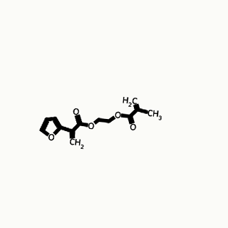 C=C(C)C(=O)OCCOC(=O)C(=C)c1ccco1